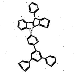 c1ccc(-c2cc(-c3ccccc3)cc(-c3ccc(-n4c5c(c6ccccc64)C(c4ccccc4)c4ccccc4-5)cc3)c2)cc1